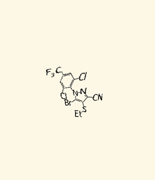 CCSc1c(C#N)nn(-c2c(Cl)cc(C(F)(F)F)cc2Cl)c1Br